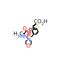 CCCOC(=O)C(C)NP(=O)(Cc1ccc2sc(C(=O)O)cc2c1)N1CCOCC1